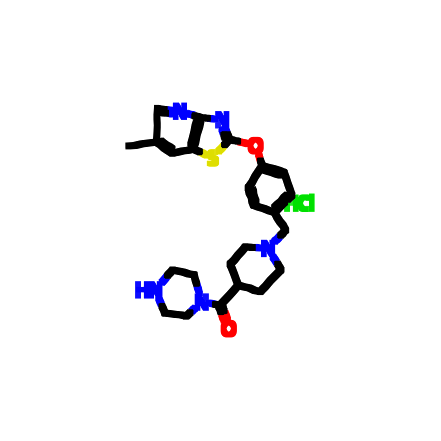 Cc1cnc2nc(Oc3ccc(CN4CCC(C(=O)N5CCNCC5)CC4)cc3)sc2c1.Cl